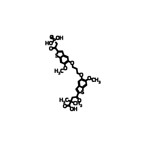 COc1cc2sc(C(=O)CC(C)(C)C(=O)O)cc2cc1OCCCOc1cc2cc(C(=O)CP(=O)(O)O)sc2cc1OC